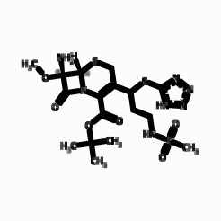 CO[C@@]1(N)C(=O)N2C(C(=O)OC(C)(C)C)=C(C(CCNS(C)(=O)=O)Sc3nnn[nH]3)CS[C@H]21